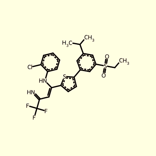 CCS(=O)(=O)c1cc(-c2ccc(/C(=C/C(=N)C(F)(F)F)Nc3ccccc3Cl)s2)cc(C(C)C)c1